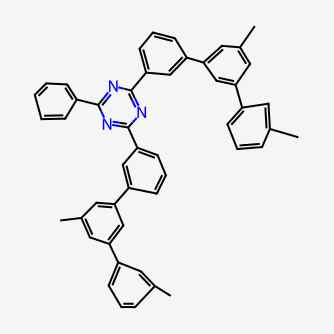 Cc1cccc(-c2cc(C)cc(-c3cccc(-c4nc(-c5ccccc5)nc(-c5cccc(-c6cc(C)cc(-c7cccc(C)c7)c6)c5)n4)c3)c2)c1